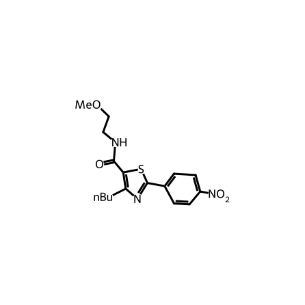 CCCCc1nc(-c2ccc([N+](=O)[O-])cc2)sc1C(=O)NCCOC